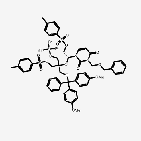 COc1ccc(C(OC[C@](CO[Si](C(C)C)(C(C)C)C(C)C)(COS(=O)(=O)c2ccc(C)cc2)O[C@H](COS(=O)(=O)c2ccc(C)cc2)n2ccc(=O)n(COCc3ccccc3)c2=O)(c2ccccc2)c2ccc(OC)cc2)cc1